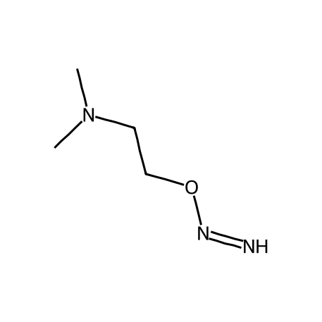 CN(C)CCON=N